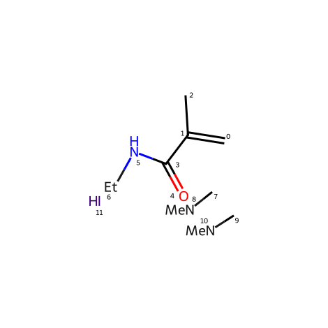 C=C(C)C(=O)NCC.CNC.CNC.I